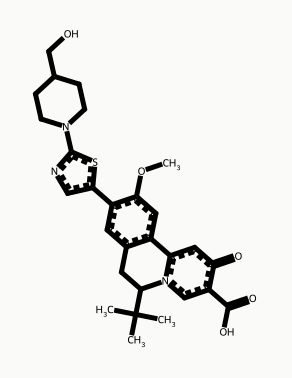 COc1cc2c(cc1-c1cnc(N3CCC(CO)CC3)s1)CC(C(C)(C)C)n1cc(C(=O)O)c(=O)cc1-2